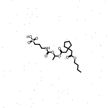 CCCCOC(=O)CC1(CC(=O)OC(C)OC(=O)NCCCS(=O)(=O)O)CCCC1